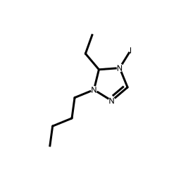 CCCCN1N=CN(I)C1CC